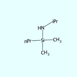 CCC[Si](C)(C)NC(C)C